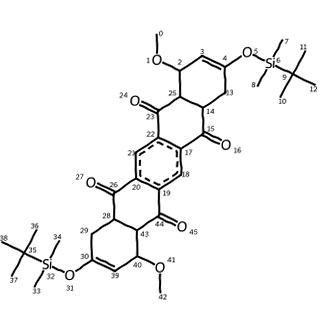 COC1C=C(O[Si](C)(C)C(C)(C)C)CC2C(=O)c3cc4c(cc3C(=O)C12)C(=O)C1CC(O[Si](C)(C)C(C)(C)C)=CC(OC)C1C4=O